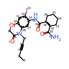 CCC#CCN1C(=O)COc2cc(I)c(NC(=O)C3=C(C(N)=O)CCCC3)cc21